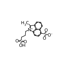 CC1=[N+](CCCS(=O)(=O)O)c2ccc(S(=O)(=O)[O-])c3cccc1c23